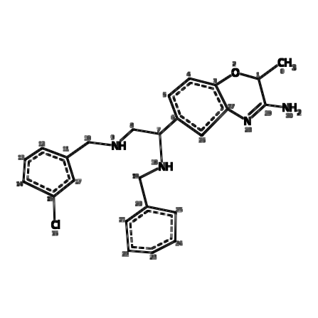 CC1Oc2ccc(C(CNCc3cccc(Cl)c3)NCc3ccccc3)cc2N=C1N